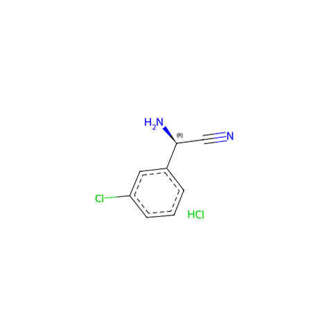 Cl.N#C[C@H](N)c1cccc(Cl)c1